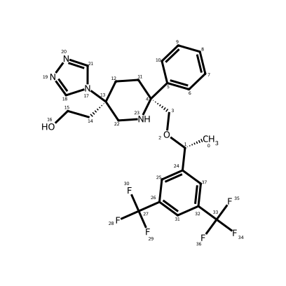 C[C@@H](OC[C@@]1(c2ccccc2)CC[C@](CCO)(n2cnnc2)CN1)c1cc(C(F)(F)F)cc(C(F)(F)F)c1